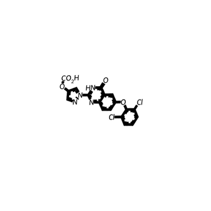 O=C(O)Oc1cnn(-c2nc3ccc(Oc4c(Cl)cccc4Cl)cc3c(=O)[nH]2)c1